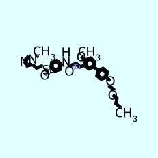 CCCCOCCOc1ccc(-c2ccc(OC)c(/C=C/C(=O)Nc3ccc([S@@+]([O-])CCc4cncn4CC)cc3)c2)cc1